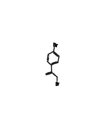 C=C(CBr)c1ccc(Br)cc1